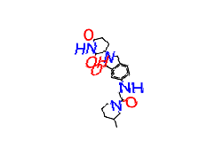 CC1CCCN(C(=O)CNc2ccc3c(c2)C(=O)N(C2CCC(=O)NC2O)C3)C1